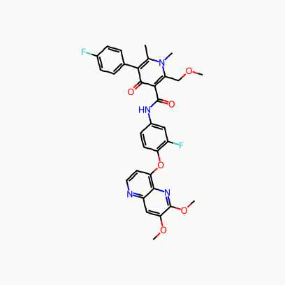 COCc1c(C(=O)Nc2ccc(Oc3ccnc4cc(OC)c(OC)nc34)c(F)c2)c(=O)c(-c2ccc(F)cc2)c(C)n1C